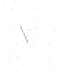 CCCCCCCCC(CCCCCCC)C(C)CC(=O)CCCCCCCN